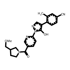 COCC1CCN(C(=O)c2ccc(-n3ncc(-c4ccc(C#N)cc4C)c3O)nc2)C1